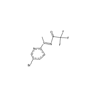 C/S(=N\C(=O)C(F)(F)F)c1ccc(Br)cn1